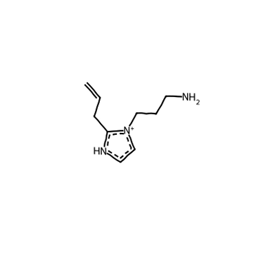 C=CCc1[nH]cc[n+]1CCCN